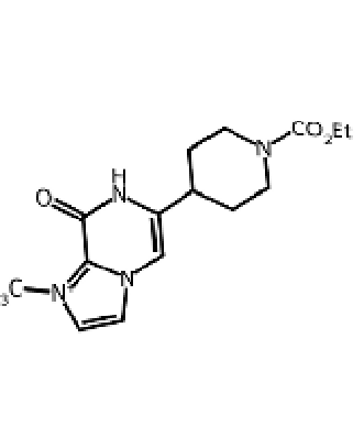 CCOC(=O)N1CCC(c2cn3cc[n+](C)c3c(=O)[nH]2)CC1